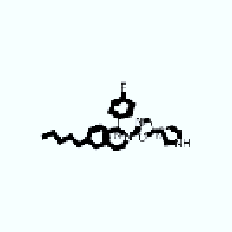 CCCCCC1C=CC2=C(CCN(C3=NC[C@H]([C@@H]4CCNC4)O3)[C@H]2c2ccc(F)cc2)C1